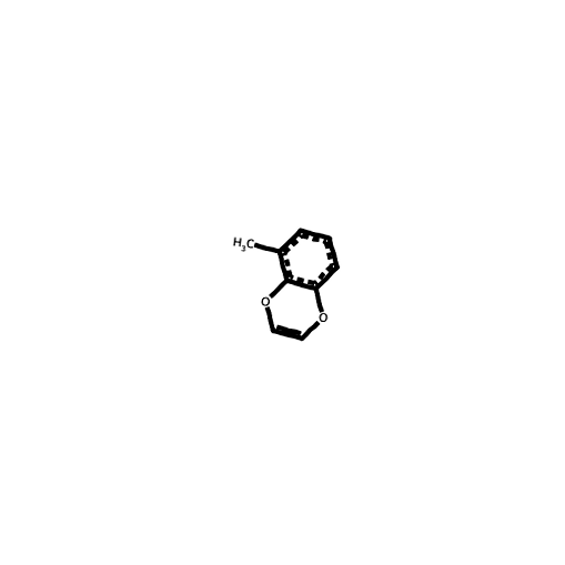 Cc1cccc2c1OC=CO2